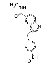 CNC(=O)c1ccc2ncn(Cc3ccc(BO)cc3)c2c1